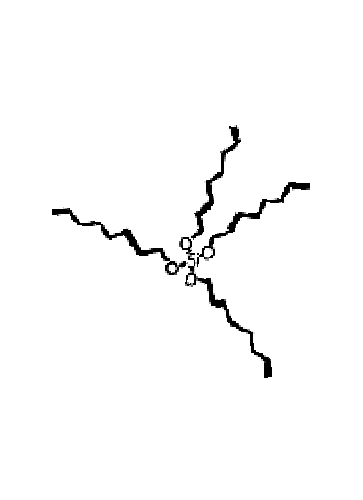 C=CCCCC=CCO[Si](OCC=CCCCC=C)(OCC=CCCCC=C)OCC=CCCCC=C